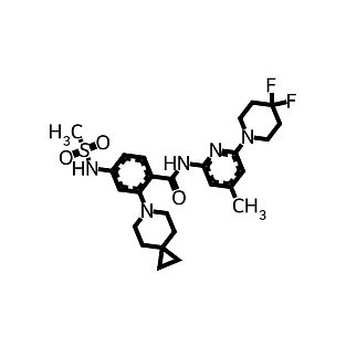 Cc1cc(NC(=O)c2ccc(NS(C)(=O)=O)cc2N2CCC3(CC2)CC3)nc(N2CCC(F)(F)CC2)c1